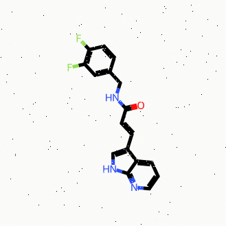 O=C(C=Cc1c[nH]c2ncccc12)NCc1ccc(F)c(F)c1